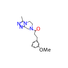 COc1cccc(CCC(=O)N2CCn3c(C)nnc3C2)c1